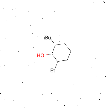 CCC(C)C1CCCC(CC)C1O